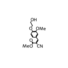 COC(=O)C(C#N)=Cc1ccc(OCCO)c(OC)c1